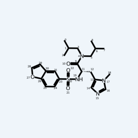 CC(C)CN(CC(C)C)C(=O)[C@H](Cc1cncn1C)NS(=O)(=O)c1ccc2occc2c1